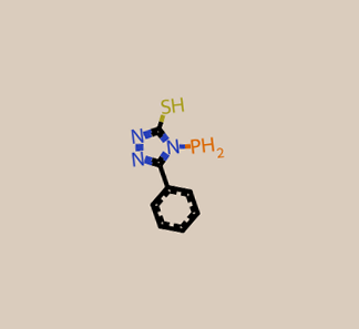 Pn1c(S)nnc1-c1ccccc1